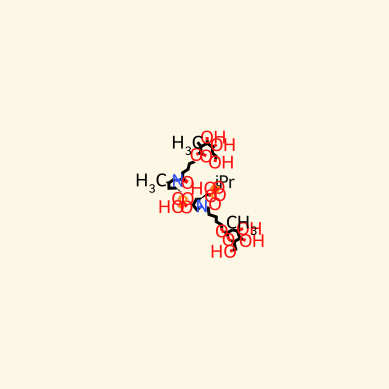 CC(C)OP(=O)(O)OC[C@@H]1C[C@@H](OP(=O)(O)OC[C@@H]2C[C@@H](C)CN2C(=O)CCCCOC2OC(CO)C(O)C(O)C2C)CN1C(=O)CCCCOC1OC(CO)C(O)C(O)C1C